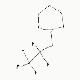 FC(F)(F)C(F)(F)[CH]C1CCCCC1